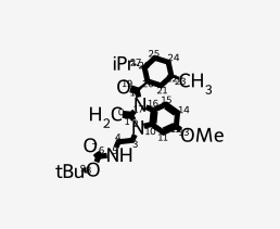 C=C1N(CCNC(=O)OC(C)(C)C)c2cc(OC)ccc2N1C(=O)[C@@H]1C[C@H](C)CC[C@H]1C(C)C